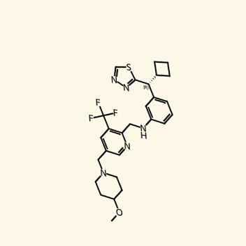 COC1CCN(Cc2cnc(CNc3cccc([C@H](c4nncs4)C4CCC4)c3)c(C(F)(F)F)c2)CC1